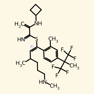 C=C(NC1CCC1)C(=N)S/C(=C/C(C)CCCNC)c1ccc(C(C)(C(F)(F)F)C(F)(F)F)cc1C